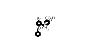 C=C(c1cc(Br)ccc1OCc1ccccc1)n1ccc(=O)c(C(=O)O)c1